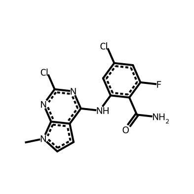 Cn1ccc2c(Nc3cc(Cl)cc(F)c3C(N)=O)nc(Cl)nc21